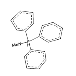 CN[PH](c1ccccc1)(c1ccccc1)c1ccccc1